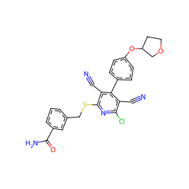 N#Cc1c(Cl)nc(SCc2cccc(C(N)=O)c2)c(C#N)c1-c1ccc(OC2CCOC2)cc1